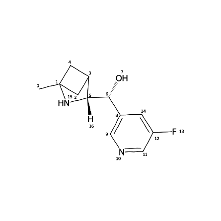 CC12CC(C1)[C@H]([C@H](O)c1cncc(F)c1)N2